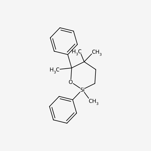 CC1(C)CC[Si](C)(c2ccccc2)OC1(C)c1ccccc1